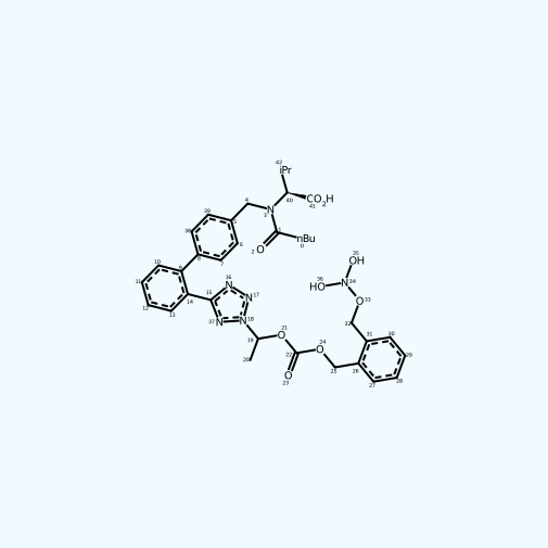 CCCCC(=O)N(Cc1ccc(-c2ccccc2-c2nnn(C(C)OC(=O)OCc3ccccc3CON(O)O)n2)cc1)[C@H](C(=O)O)C(C)C